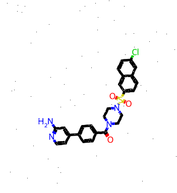 Nc1cc(-c2ccc(C(=O)N3CCN(S(=O)(=O)c4ccc5cc(Cl)ccc5c4)CC3)cc2)ccn1